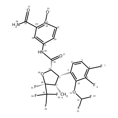 C[C@H]1[C@@H](c2ccc(F)c(F)c2OC(F)F)[C@@H](C(=O)Nc2cc[n+]([O-])c(C(N)=O)c2)O[C@]1(F)C(F)(F)F